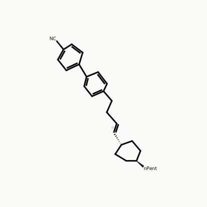 CCCCC[C@H]1CC[C@H](/C=C/CCc2ccc(-c3ccc(C#N)cc3)cc2)CC1